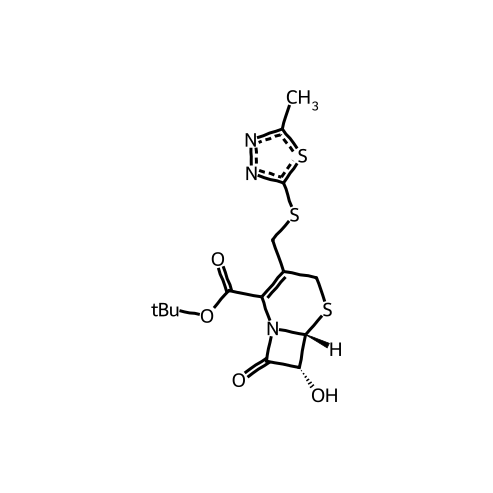 Cc1nnc(SCC2=C(C(=O)OC(C)(C)C)N3C(=O)[C@@H](O)[C@H]3SC2)s1